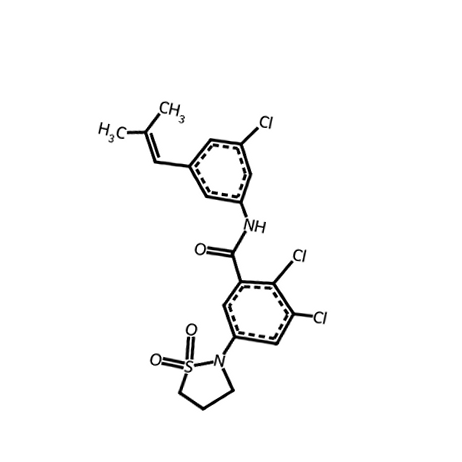 CC(C)=Cc1cc(Cl)cc(NC(=O)c2cc(N3CCCS3(=O)=O)cc(Cl)c2Cl)c1